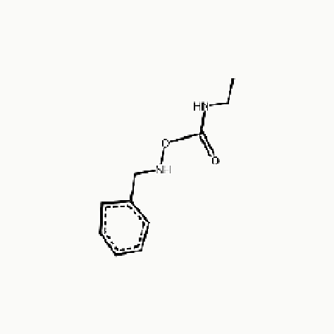 CCNC(=O)ONCc1ccccc1